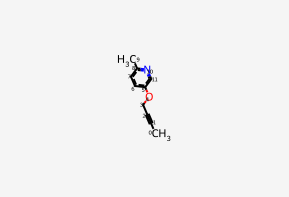 CC#CCOc1ccc(C)nc1